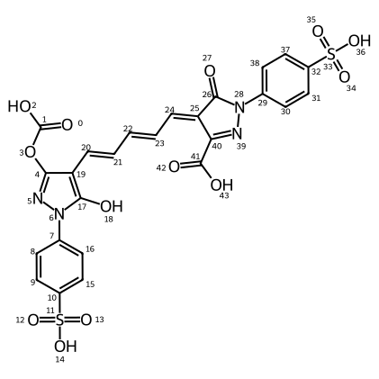 O=C(O)Oc1nn(-c2ccc(S(=O)(=O)O)cc2)c(O)c1C=CC=CC=C1C(=O)N(c2ccc(S(=O)(=O)O)cc2)N=C1C(=O)O